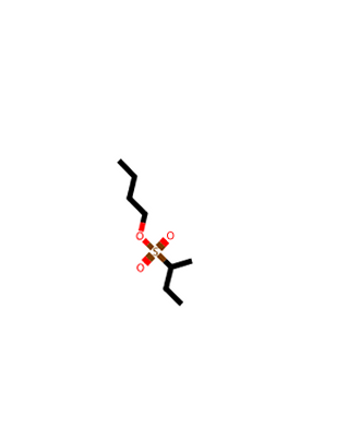 CCCCOS(=O)(=O)C(C)CC